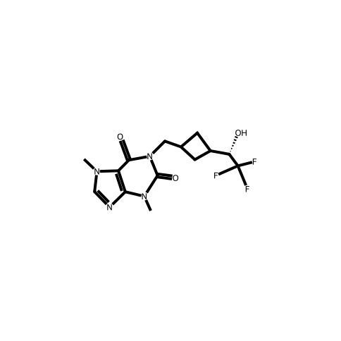 Cn1cnc2c1c(=O)n(CC1CC([C@H](O)C(F)(F)F)C1)c(=O)n2C